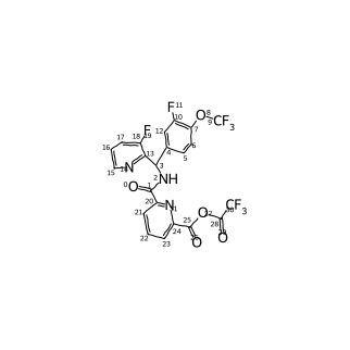 O=C(NC(c1ccc(OC(F)(F)F)c(F)c1)c1ncccc1F)c1cccc(C(=O)OC(=O)C(F)(F)F)n1